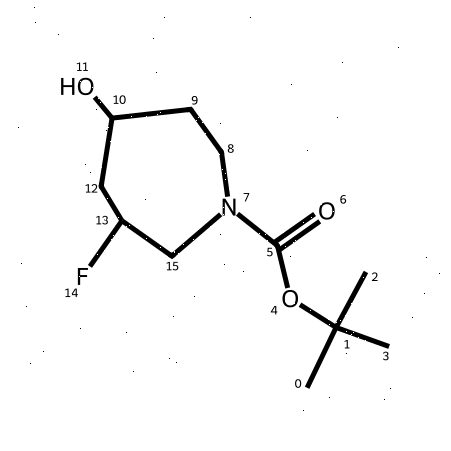 CC(C)(C)OC(=O)N1CCC(O)CC(F)C1